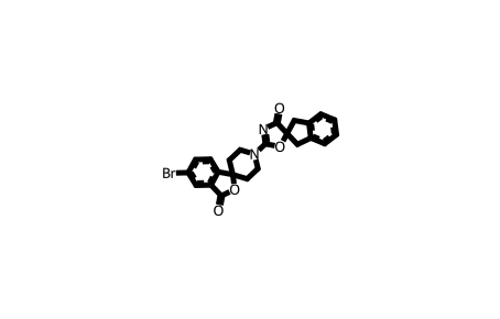 O=C1OC2(CCN(C3=NC(=O)C4(Cc5ccccc5C4)O3)CC2)c2ccc(Br)cc21